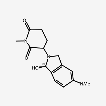 CNc1ccc2c(c1)CN(C1CCC(=O)N(C)C1=O)[C@@H]2O